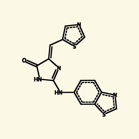 O=C1NC(Nc2ccc3ncsc3c2)=NC1=Cc1cncs1